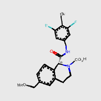 COCc1ccc2c(c1)CCN(C(=O)O)[C@H]2C(=O)Nc1cc(F)c(C(C)(C)C)c(F)c1